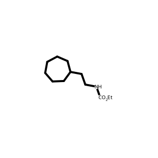 CCOC(=O)NCCC1CCCCCC1